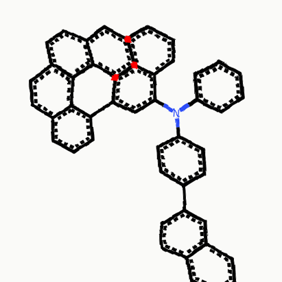 c1ccc(N(c2ccc(-c3ccc4ccccc4c3)cc2)c2cc(-c3cccc4ccc5ccc6ccccc6c5c34)cc3ccccc23)cc1